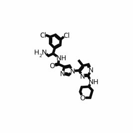 Cc1cnc(NC2CCOCC2)nc1-n1cnc(C(=O)NC(CN)c2cc(Cl)cc(Cl)c2)c1